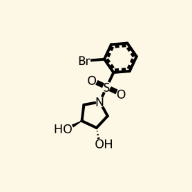 O=S(=O)(c1ccccc1Br)N1C[C@H](O)[C@@H](O)C1